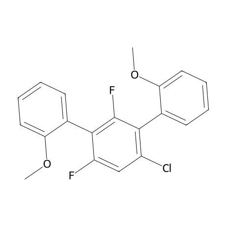 COc1ccccc1-c1c(F)cc(Cl)c(-c2ccccc2OC)c1F